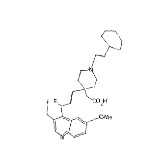 COc1ccc2ncc(CF)c(C(F)CCC3(CC(=O)O)CCN(CCC4CCCCC4)CC3)c2c1